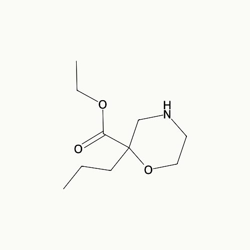 CCCC1(C(=O)OCC)CNCCO1